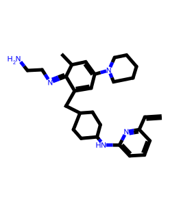 C=Cc1cccc(NC2CCC(CC3=CC(N4CCCCC4)=CC(C)/C3=N\CCN)CC2)n1